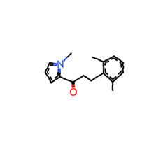 Cc1cccc(C)c1CCC(=O)c1cccn1C